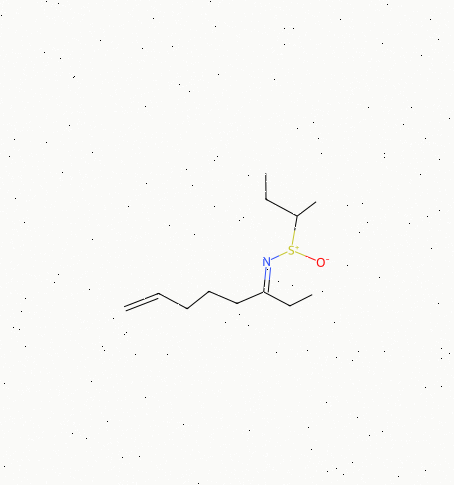 C=CCCCC(CC)=N[S+]([O-])C(C)CC